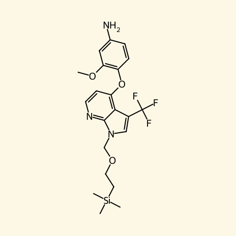 COc1cc(N)ccc1Oc1ccnc2c1c(C(F)(F)F)cn2COCC[Si](C)(C)C